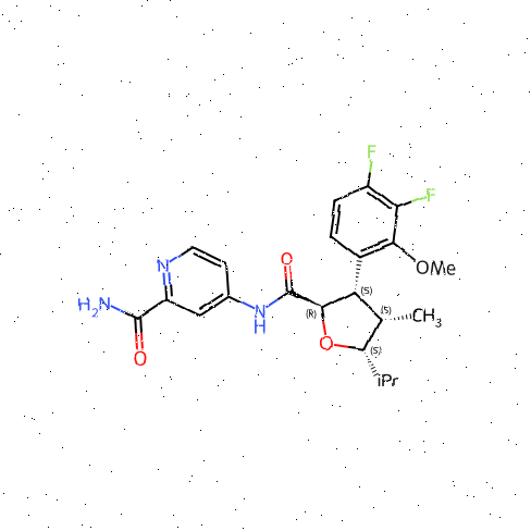 COc1c([C@@H]2[C@H](C)[C@H](C(C)C)O[C@H]2C(=O)Nc2ccnc(C(N)=O)c2)ccc(F)c1F